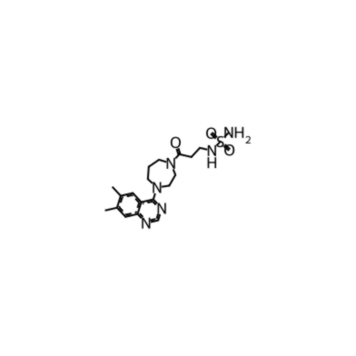 Cc1cc2ncnc(N3CCCN(C(=O)CCNS(N)(=O)=O)CC3)c2cc1C